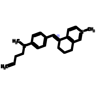 C=CCCN(C)c1ccc(/C=C2\CCCc3c[n+](C)ccc32)cc1